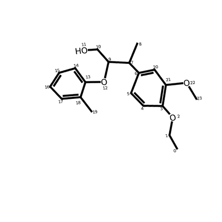 CCOc1ccc(C(C)C(CO)Oc2ccccc2C)cc1OC